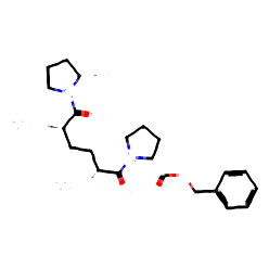 CO[C@@H](CC[C@@H](OC)C(=O)N1CCC[C@@H]1C(=O)O)C(=O)N1CCC[C@@H]1C(=O)OCc1ccccc1